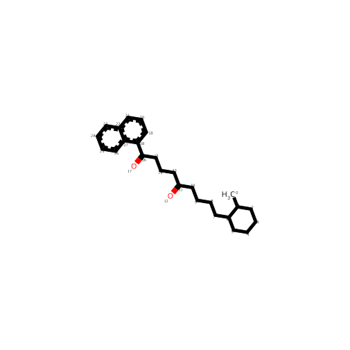 CC1CCCCC1CCCCC(=O)CCCC(=O)c1cccc2ccccc12